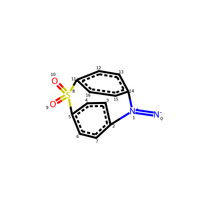 [N-]=[N+]1c2ccc(cc2)S(=O)(=O)c2ccc1cc2